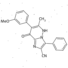 COc1cccc(-c2c(C)[nH]n3c(-c4ccccc4)c(C#N)nc3c2=O)c1